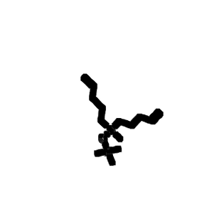 C=CCCC[Si](C)(CCCC=C)O[Si](C)(C)C